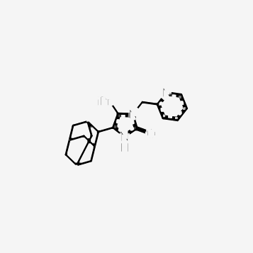 CC(C)c1c(C2C3CC4CC(C3)CC2C4)[nH]c(=O)n1Cc1ccccn1